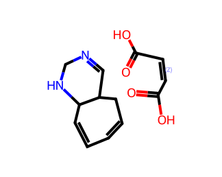 C1=CCC2C=NCNC2C=C1.O=C(O)/C=C\C(=O)O